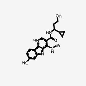 CC(C)Nc1c(C(=O)NC(CCO)C2CC2)c[nH]c2c3ccc(C#N)cc3nc1-2